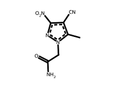 Cc1c(C#N)c([N+](=O)[O-])nn1CC(N)=O